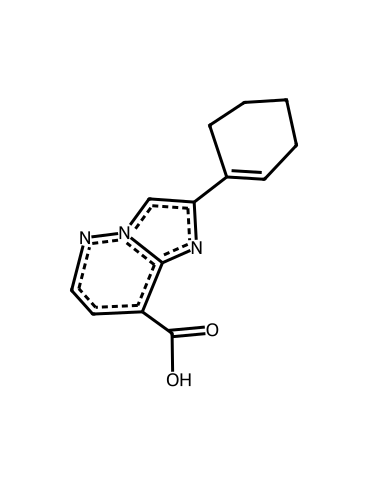 O=C(O)c1ccnn2cc(C3=CCCCC3)nc12